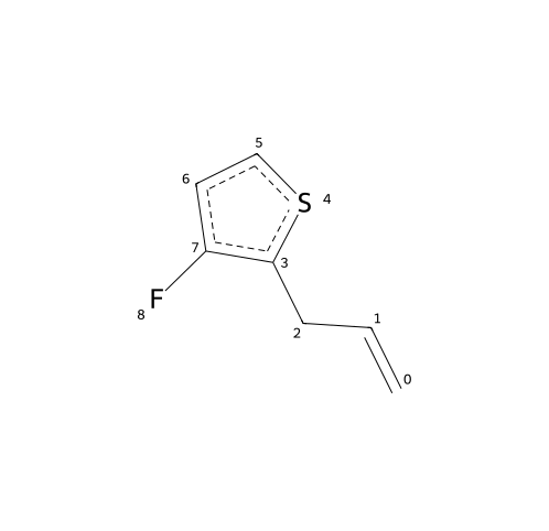 C=CCc1sccc1F